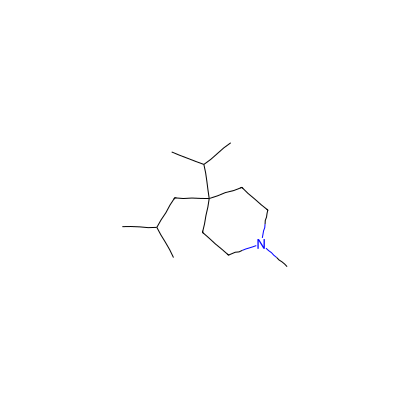 CC(C)CC1(C(C)C)CCN(C)CC1